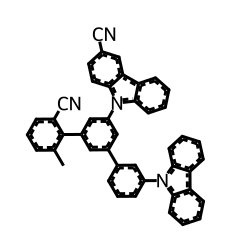 Cc1cccc(C#N)c1-c1cc(-c2cccc(-n3c4ccccc4c4ccccc43)c2)cc(-n2c3ccccc3c3cc(C#N)ccc32)c1